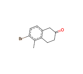 Cc1c(Br)ccc2c1CCC(=O)C2